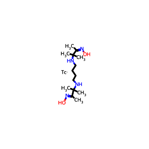 C/C(=N/O)C(C)(C)NCCCCNC(C)(C)/C(C)=N/O.[Tc]